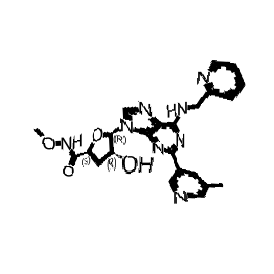 CONC(=O)[C@@H]1C[C@@H](O)[C@H](n2cnc3c(NCc4ccccn4)nc(-c4cncc(C)c4)nc32)O1